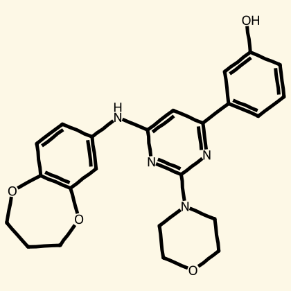 Oc1cccc(-c2cc(Nc3ccc4c(c3)OCCCO4)nc(N3CCOCC3)n2)c1